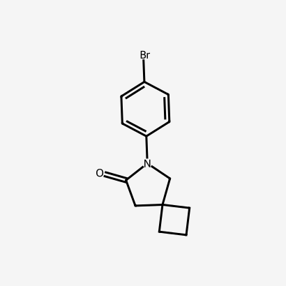 O=C1CC2(CCC2)CN1c1ccc(Br)cc1